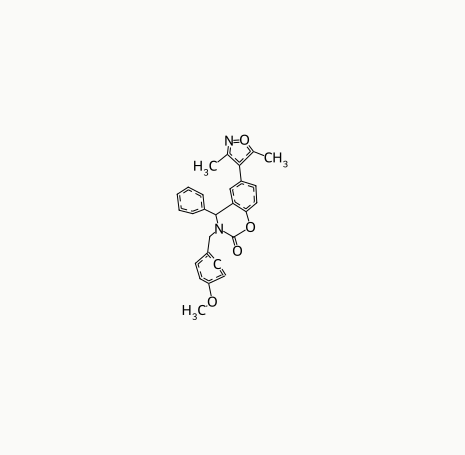 COc1ccc(CN2C(=O)Oc3ccc(-c4c(C)noc4C)cc3C2c2ccccc2)cc1